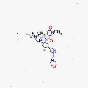 C[C@H]1CN(c2cc(F)c(-c3cnn(CCN4CCOCC4)c3)cc2NC(=O)c2cn(C)c(=O)cc2C(F)F)CCN1C